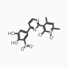 Cc1cc(C)[n+]([O-])c(Cl)c1-c1nccc(-c2cc(O)c(O)c([N+](=O)[O-])c2)n1